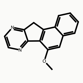 COc1cc2ccccc2c2c1-c1nccnc1C2